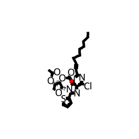 CCCCCCCC#Cc1nc(Cl)c2nc(-c3cccs3)n([C@@H]3OC[C@@H](OC(C)=O)[C@H]3OC(C)=O)c2n1